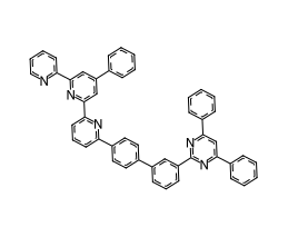 c1ccc(-c2cc(-c3ccccn3)nc(-c3cccc(-c4ccc(-c5cccc(-c6nc(-c7ccccc7)cc(-c7ccccc7)n6)c5)cc4)n3)c2)cc1